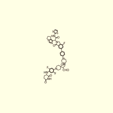 O=CC(CN1CCN(c2ccc(-c3cc(F)c4c(c3)C(=O)N(C(C(=O)Nc3nccs3)c3ncn5c3CCC5)C4)cc2)CC1)C1(O)CCN(c2cc(F)c(NC3CCC(=O)NC3=O)cc2F)CC1